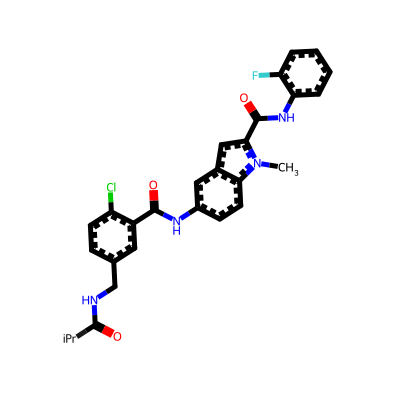 CC(C)C(=O)NCc1ccc(Cl)c(C(=O)Nc2ccc3c(c2)cc(C(=O)Nc2ccccc2F)n3C)c1